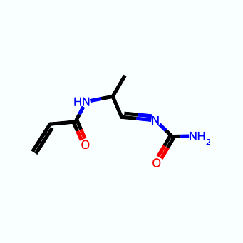 C=CC(=O)NC(C)C=NC(N)=O